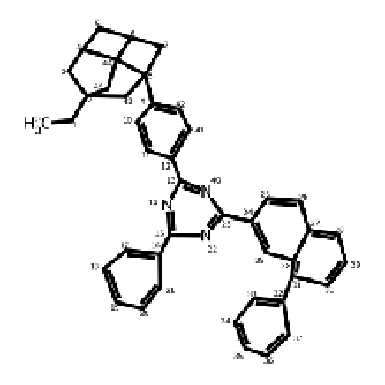 CCC12CC3CC4CC(c5ccc(-c6nc(-c7ccccc7)nc(-c7ccc8cccc(-c9ccccc9)c8c7)n6)cc5)(C1)C34C2